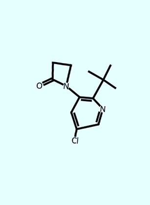 CC(C)(C)c1ncc(Cl)cc1N1CCC1=O